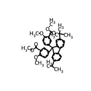 COC(=O)c1cc(C2(c3ccc(OC)c(C(=O)OC)c3)c3cc(C(C)C)ccc3-c3ccc(C(C)(C)C)cc32)ccc1OC